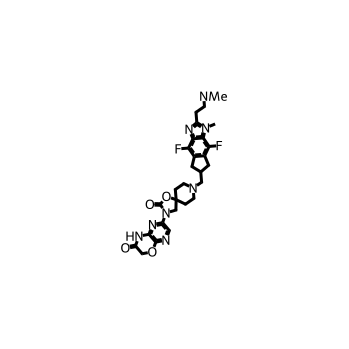 CNCCc1nc2c(F)c3c(c(F)c2n1C)CC(CN1CCC2(CC1)CN(c1cnc4c(n1)NC(=O)CO4)C(=O)O2)C3